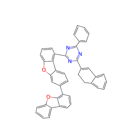 C1=C(c2nc(-c3ccccc3)nc(-c3cccc4oc5cc(-c6cccc7c6oc6ccccc67)ccc5c34)n2)CCc2ccccc21